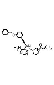 C=CC(=O)N1CCCC(n2nc(C#Cc3cccc(OCc4ccccc4)c3)c3c(N)ncnc32)C1